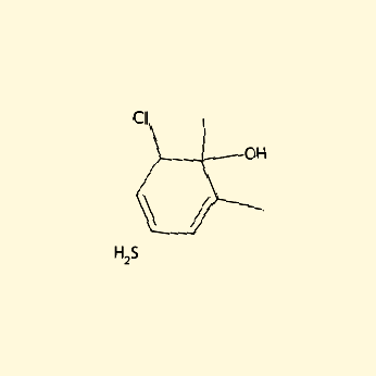 CC1=CC=CC(Cl)C1(C)O.S